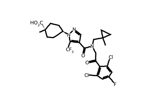 CC1(CN(CC(=O)c2c(Cl)cc(F)cc2Cl)C(=O)c2cnn([C@H]3CC[C@](C)(C(=O)O)CC3)c2C(F)(F)F)CC1